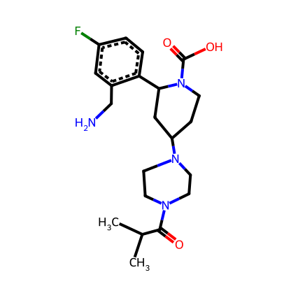 CC(C)C(=O)N1CCN(C2CCN(C(=O)O)C(c3ccc(F)cc3CN)C2)CC1